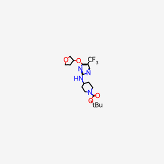 CC(C)(C)OC(=O)N1CCC(Nc2ncc(C(F)(F)F)c(O[C@H]3CCOC3)n2)CC1